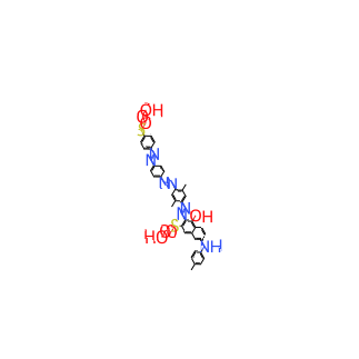 Cc1ccc(Nc2ccc3c(O)c(N=Nc4cc(C)c(N=Nc5ccc(N=Nc6ccc(SOOO)cc6)cc5)cc4C)c(SOOO)cc3c2)cc1